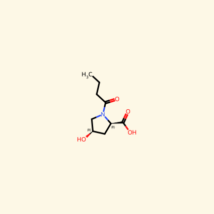 CCCC(=O)N1C[C@H](O)C[C@@H]1C(=O)O